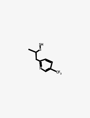 CC(Cc1ccc(C(F)(F)F)cn1)SS